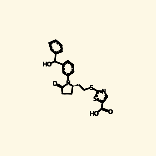 O=C(O)c1cnc(SCC[C@@H]2CCC(=O)N2c2cccc(C(O)c3ccccc3)c2)s1